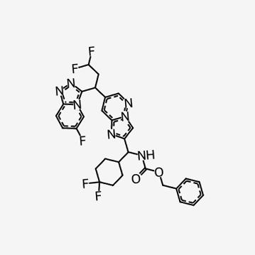 O=C(NC(c1cn2ncc(C(CC(F)F)c3nnc4ccc(F)cn34)cc2n1)C1CCC(F)(F)CC1)OCc1ccccc1